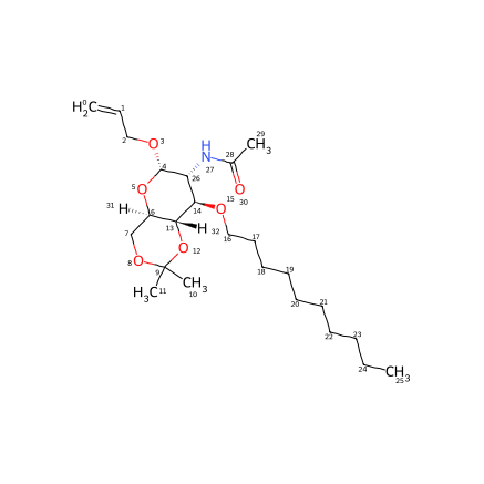 C=CCO[C@H]1O[C@@H]2COC(C)(C)O[C@H]2[C@H](OCCCCCCCCCC)[C@H]1NC(C)=O